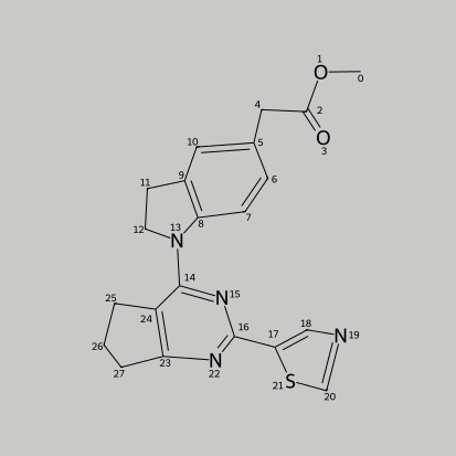 COC(=O)Cc1ccc2c(c1)CCN2c1nc(-c2cncs2)nc2c1CCC2